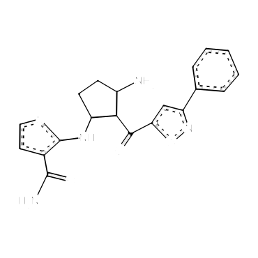 NC(=O)c1ccsc1NC1CCC(N)C1C(=O)c1cc(-c2ccccc2)no1